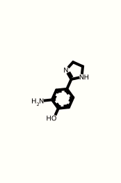 Nc1cc(C2=NCCN2)ccc1O